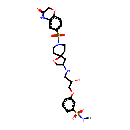 CNS(=O)(=O)c1cccc(OC[C@@H](O)CN[C@H]2COC3(CCN(S(=O)(=O)c4ccc5c(c4)NC(=O)CO5)CC3)C2)c1